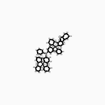 c1ccc(N(c2ccc3c(c2)-c2ccccc2C32c3ccccc3-c3c2ccc2c3oc3ccccc32)c2ccc3c(c2)C2(c4ccccc4-c4ccccc42)c2ccccc2-3)cc1